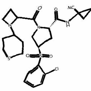 N#CC1(NC(=O)[C@@H]2C[C@@H](S(=O)(=O)c3ccccc3Cl)CN2C(=O)C2CCN2C2CCSCC2)CC1